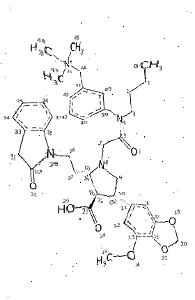 CCCCN(C(=O)CN1C[C@H](c2cc(OC)c3c(c2)OCO3)[C@@H](C(=O)O)[C@@H]1CCN1C(=O)Cc2ccccc21)c1cccc(C[N+](C)(C)C)c1